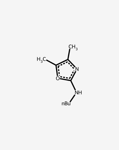 CCCCNc1nc(C)c(C)o1